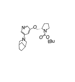 CC(C)(C)OC(=O)N1CCC[C@H]1COc1cncc(N2CC3CCC(C3)C2)c1